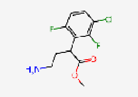 COC(=O)C(CCN)c1c(F)ccc(Cl)c1F